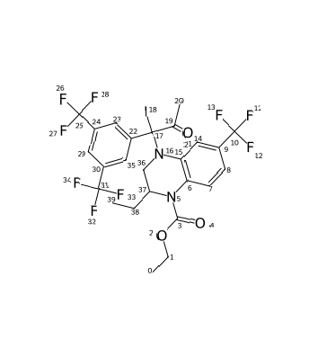 CCOC(=O)N1c2ccc(C(F)(F)F)cc2N(C(I)(C(C)=O)c2cc(C(F)(F)F)cc(C(F)(F)F)c2)CC1CC